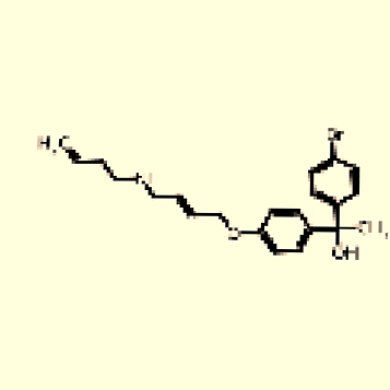 C=CCCNCC=CCOc1ccc([C@@](C)(O)c2ccc(Br)cc2)cc1